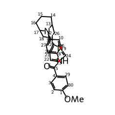 COc1ccc(C(=O)Nc2ccc(N3C4CCCC3CN(c3ccccn3)C4)cc2)cc1